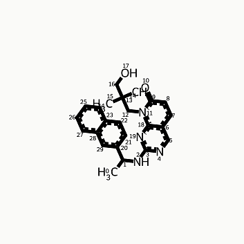 CC(Nc1ncc2ccc(=O)n(CC(C)(C)CO)c2n1)c1ccc2ccccc2c1